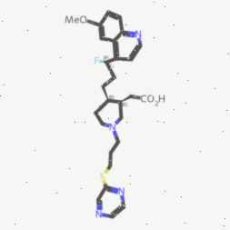 COc1ccc2nccc([C@H](F)CC[C@@H]3CCN(CCCSc4cnccn4)C[C@@H]3CC(=O)O)c2c1